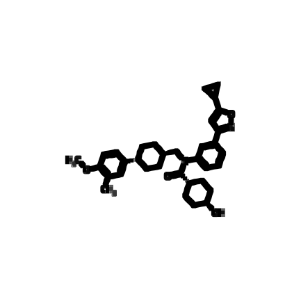 COc1ccc([C@H]2CC[C@H](CN(c3cccc(-c4cc(C5CC5)on4)c3)C(=O)[C@H]3CC[C@H](O)CC3)CC2)cc1C